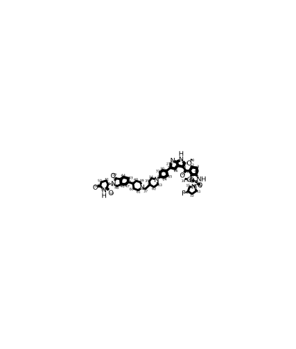 COc1ccc(NS(=O)(=O)N2CC[C@@H](F)C2)c(OC)c1C(=O)c1c[nH]c2ncc(-c3ccc(N4CCC(CN5CCC(c6ccc7c(c6)CN([C@H]6CCC(=O)NC6=O)C7=O)CC5)CC4)cc3)cc12